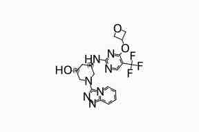 O[C@@H]1C[C@@H](Nc2ncc(C(F)(F)F)c(OC3COC3)n2)CN(c2nnc3ccccn23)C1